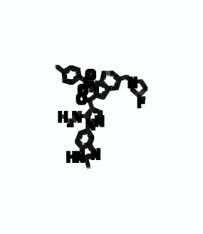 Cc1ccc(S(=O)(=O)n2c(C(=O)c3cnn(-c4ccc5[nH]c(C)nc5c4)c3N)cc3cc(CN4CCC(F)C4)ccc32)cc1